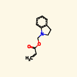 C=CC(=O)OCN1CCc2ccccc21